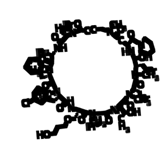 CC[C@H](C)[C@@H]1NC(=O)[C@H](CC(C)C)N(C)C(=O)CCCN(C)C(=O)C[C@@H](C(=O)N2CCCCC2)NC(O)[C@H](CC(C)C)N(C)C(=O)[C@H](CC(C)C)N(C)C(=O)[C@H]([C@@H](C)O)NC(=O)[C@H](CC(C)C)N(C)C(=O)[C@H](COCCCO)NC(=O)[C@H](Cc2cccc(Cl)c2)N(C)C(=O)[C@H](Cc2ccccc2)N(C)C1=O